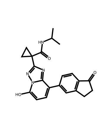 CC(C)NC(=O)C1(c2nc3c(-c4ccc5c(c4)CCC5=O)ccc(O)n3n2)CC1